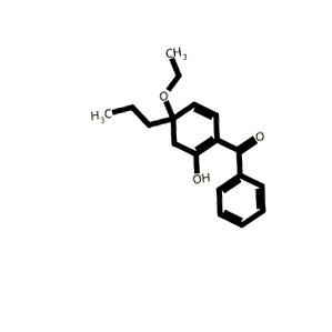 CCCC1(OCC)C=CC(C(=O)c2ccccc2)=C(O)C1